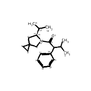 CC(C)C(C(=O)N1CC2(CC2)C[C@H]1C(C)C)c1ccccc1